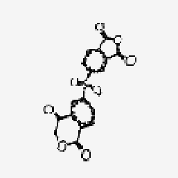 O=C1COC(=O)c2ccc(S(=O)(=O)c3ccc4c(c3)C(=O)OC4=O)cc21